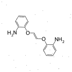 Nc1ccccc1OC=COc1ccccc1N